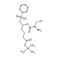 BN(CCl)C(=O)OC(CCCC(=O)OC(C)(C)C)CS(=O)(=O)c1ccccc1